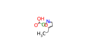 CCc1ccno1.O=C(O)Cl